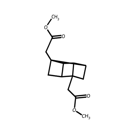 COC(=O)CC12CC3C1C1C2CC31CC(=O)OC